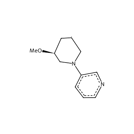 CO[C@H]1C[CH]CN(c2cccnc2)C1